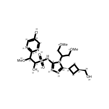 COCC(COC)n1c(NS(=O)(=O)C(C)C(OC)c2ncc(Cl)cn2)nnc1[C@H]1C[C@H](CO)C1